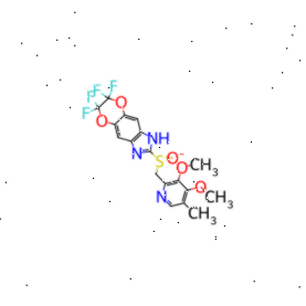 COc1c(C)cnc(C[S+]([O-])c2nc3cc4c(cc3[nH]2)OC(F)(F)C(F)(F)O4)c1OC